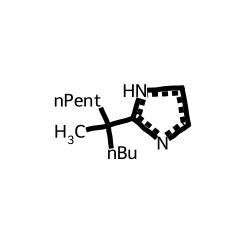 CCCCCC(C)(CCCC)c1ncc[nH]1